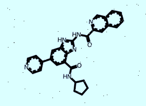 O=C(Nc1nc2c(C(=O)NC3CCCC3)cc(-c3ccncc3)cc2[nH]1)c1cc2ccccc2cn1